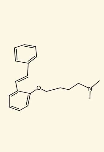 CN(C)CCCCOc1ccccc1C=Cc1ccccc1